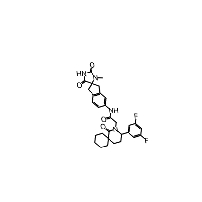 CN1C(=O)NC(=O)C12Cc1ccc(NC(=O)CN3C(=O)C4(CCCCC4)CCC3c3cc(F)cc(F)c3)cc1C2